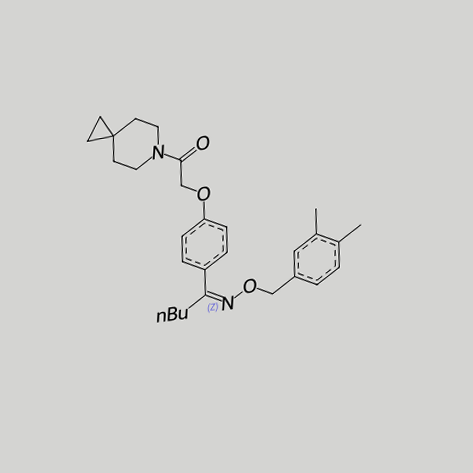 CCCC/C(=N/OCc1ccc(C)c(C)c1)c1ccc(OCC(=O)N2CCC3(CC2)CC3)cc1